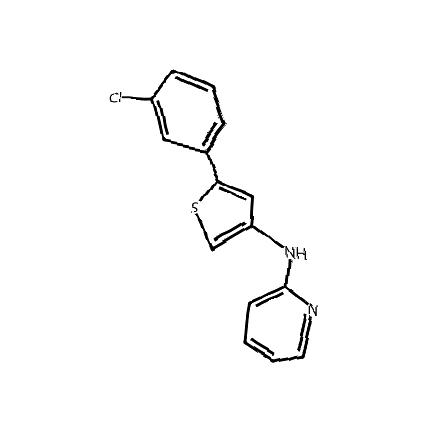 Clc1cccc(-c2cc(Nc3ccccn3)cs2)c1